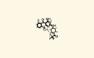 COc1cccc(F)c1C(=O)c1cnc(NC2CCN(C(=O)C(F)(F)F)CC2)nc1N